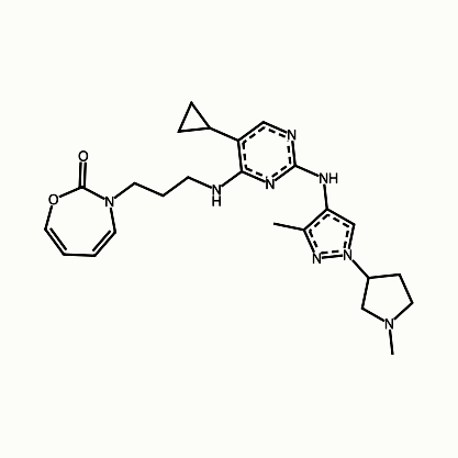 Cc1nn(C2CCN(C)C2)cc1Nc1ncc(C2CC2)c(NCCCN2C=CC=COC2=O)n1